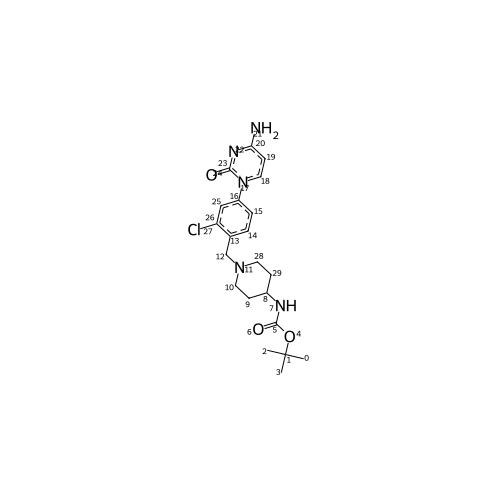 CC(C)(C)OC(=O)NC1CCN(Cc2ccc(-n3ccc(N)nc3=O)cc2Cl)CC1